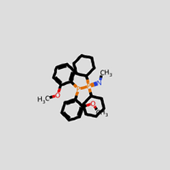 CN=P(C1CCCCC1)(C1CCCCC1)P(c1ccccc1OC)c1ccccc1OC